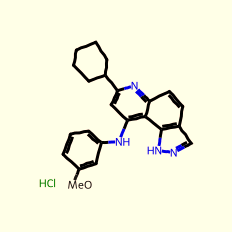 COc1cccc(Nc2cc(C3CCCCC3)nc3ccc4cn[nH]c4c23)c1.Cl